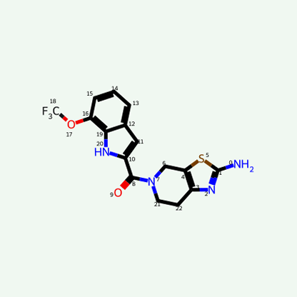 Nc1nc2c(s1)CN(C(=O)c1cc3cccc(OC(F)(F)F)c3[nH]1)CC2